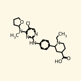 CCN1CCC(C(=O)O)CC1c1ccc(Nc2ncc(Cl)c(N(C)C3CCCO3)n2)cc1